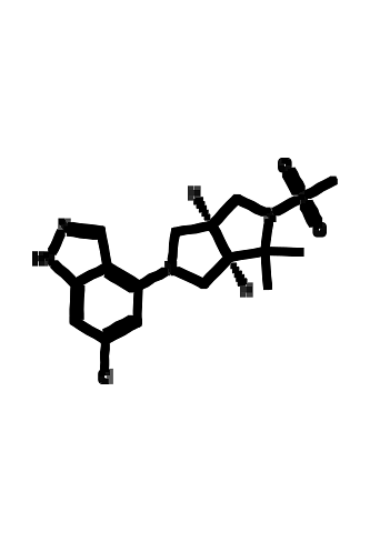 CC1(C)[C@H]2CN(c3cc(Cl)cc4[nH]ncc34)C[C@H]2CN1S(C)(=O)=O